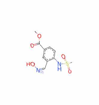 COC(=O)c1ccc(NS(C)(=O)=O)c(/C=N\O)c1